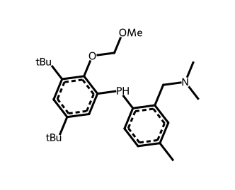 COCOc1c(Pc2ccc(C)cc2CN(C)C)cc(C(C)(C)C)cc1C(C)(C)C